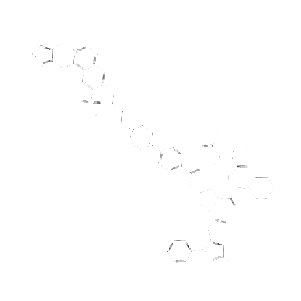 Cc1cc(NC(=O)[C@@H]2C[C@H](NC(=O)c3cnc(N4CCN(CCCOc5cc6ncnc(Nc7n[nH]c(C)c7C)c6cc5S(=O)(=O)C(C)(C)C)CC4)nc3)CN2C(=O)C(NC(=O)[C@H](C)N(C)C(=O)OC(C)(C)C)C2CCCCC2)n(-c2ccccc2)n1